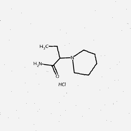 CCC(C(N)=O)N1CCCCC1.Cl